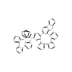 c1ccc(N(c2ccc3c(c2)c2ccccc2c2ccccc2c2ccccc2c2c3ccc3c4ccccc4sc32)c2cccc3c2N(c2ccccc2)c2ccccc2-c2ccccc2-3)cc1